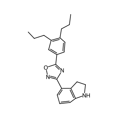 CCCc1ccc(-c2nc(-c3cccc4c3CCN4)no2)cc1CCC